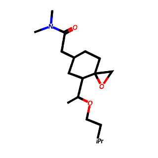 CC(C)CCOC(C)C1CC(CC(=O)N(C)C)CCC12CO2